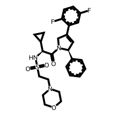 O=C([C@@H](NS(=O)(=O)CCN1CCOCC1)C1CC1)N1CC(c2cc(F)ccc2F)=C[C@H]1c1ccccc1